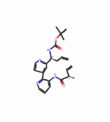 C=CC[C@H](NC(=O)OC(C)(C)C)c1cc(-c2ncccc2NC(=O)[C@H](C)C=C)ccn1